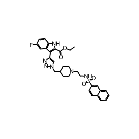 CCOC(=O)c1[nH]c2ccc(F)cc2c1-c1cn(CC2CCN(CCNS(=O)(=O)c3ccc4ccccc4c3)CC2)nn1